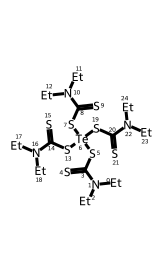 CCN(CC)C(=S)S[Te](SC(=S)N(CC)CC)(SC(=S)N(CC)CC)SC(=S)N(CC)CC